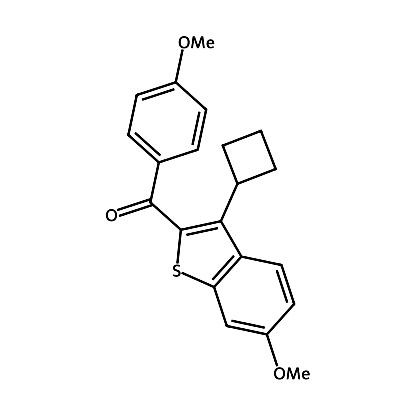 COc1ccc(C(=O)c2sc3cc(OC)ccc3c2C2CCC2)cc1